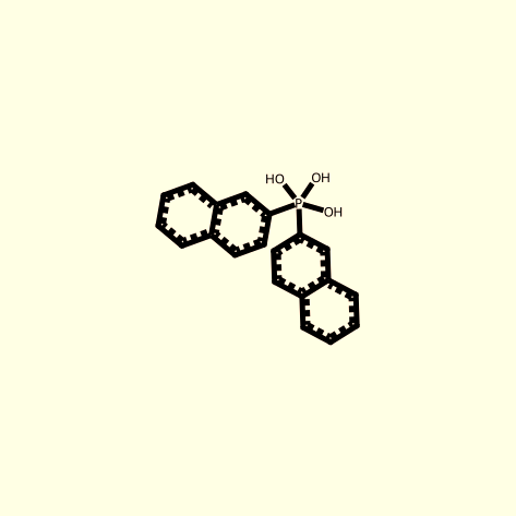 OP(O)(O)(c1ccc2ccccc2c1)c1ccc2ccccc2c1